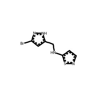 Brc1cc(CNc2ccns2)[nH]n1